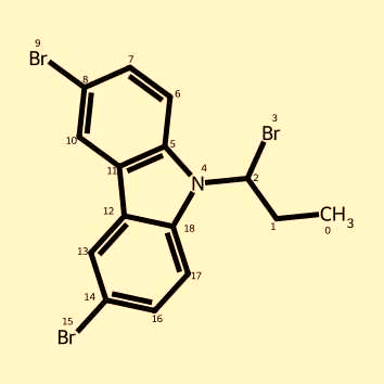 CCC(Br)n1c2ccc(Br)cc2c2cc(Br)ccc21